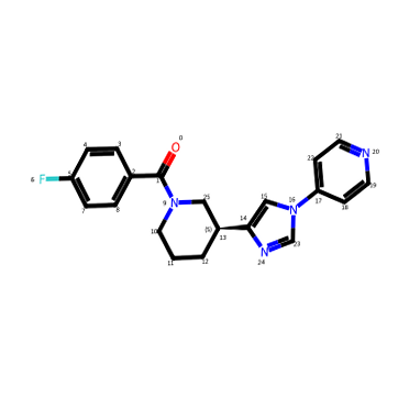 O=C(c1ccc(F)cc1)N1CCC[C@H](c2cn(-c3ccncc3)cn2)C1